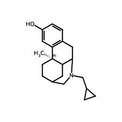 C[C@@]12CCC3CC1C(Cc1ccc(O)cc12)N(CC1CC1)C3